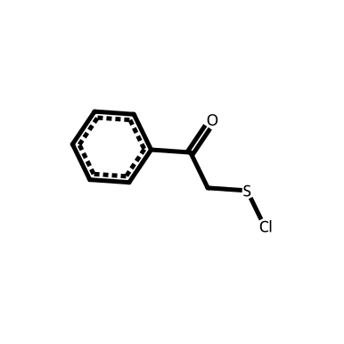 O=C(CSCl)c1ccccc1